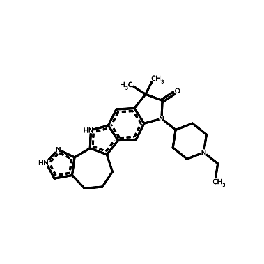 CCN1CCC(N2C(=O)C(C)(C)c3cc4[nH]c5c(c4cc32)CCCc2c[nH]nc2-5)CC1